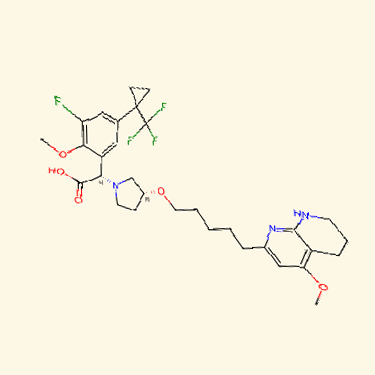 COc1cc(CCCCCO[C@@H]2CCN([C@H](C(=O)O)c3cc(C4(C(F)(F)F)CC4)cc(F)c3OC)C2)nc2c1CCCN2